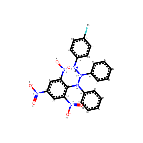 O=[N+]([O-])c1cc([N+](=O)[O-])c(N(c2ccccc2)N(Nc2ccc(F)cc2)c2ccccc2)c([N+](=O)[O-])c1